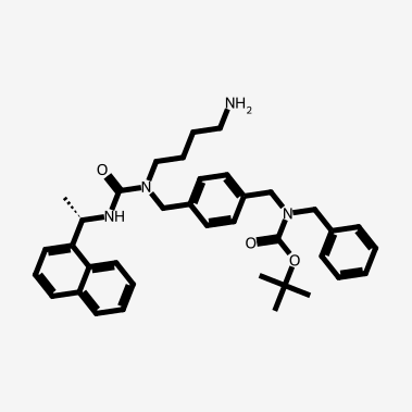 C[C@H](NC(=O)N(CCCCN)Cc1ccc(CN(Cc2ccccc2)C(=O)OC(C)(C)C)cc1)c1cccc2ccccc12